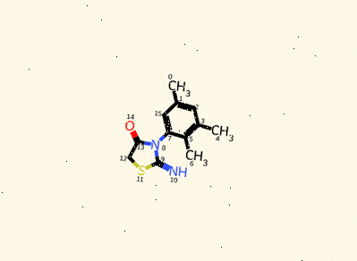 Cc1cc(C)c(C)c(N2C(=N)SCC2=O)c1